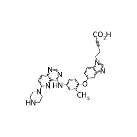 Cc1cc(Nc2ncnc3ccc(N4CCNCC4)nc23)ccc1Oc1ccc2c(c1)ncn2CCC#CC(=O)O